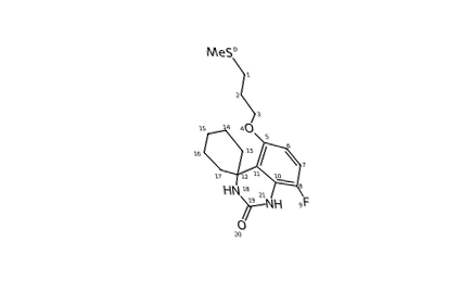 CSCCCOc1ccc(F)c2c1C1(CCCCC1)NC(=O)N2